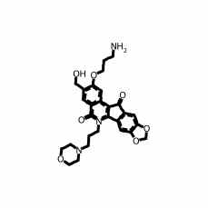 NCCCOc1cc2c3c(n(CCCN4CCOCC4)c(=O)c2cc1CO)-c1cc2c(cc1C3=O)OCO2